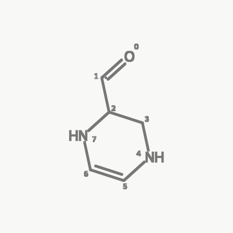 O=[C]C1CNC=CN1